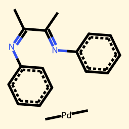 CC(=Nc1ccccc1)C(C)=Nc1ccccc1.[CH3][Pd][CH3]